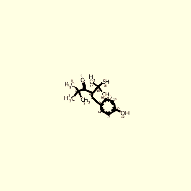 CC(C)(C)C(=O)C(Cc1ccc(O)cc1)C(C)(C)S